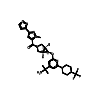 Cn1nc(-c2ccon2)cc1C(=O)N1C[C@@H]2[C@H](C1)[C@@H]2Oc1cc(C(C)(C)N)cc(N2CCC(C(F)(F)F)CC2)n1